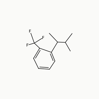 CC(C)C(C)c1ccccc1C(F)(F)F